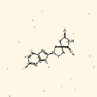 O=C1CC2(CCN(c3nc4ncc(I)cc4s3)C2)C(=O)N1